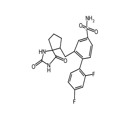 NS(=O)(=O)c1ccc(-c2ccc(F)cc2F)c(CC2CCCC23NC(=O)NC3=O)c1